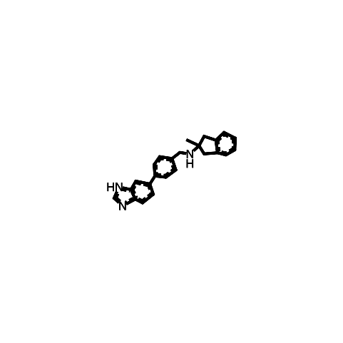 CC1(NCc2ccc(-c3ccc4nc[nH]c4c3)cc2)Cc2ccccc2C1